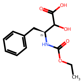 CCOC(=O)N[C@@H](Cc1ccccc1)C(O)C(=O)O